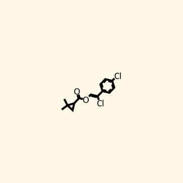 CC1(C)CC1C(=O)OC=C(Cl)c1ccc(Cl)cc1